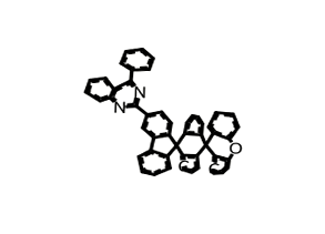 c1ccc(-c2nc(-c3ccc4c(c3)-c3ccccc3C43c4ccccc4C4(c5ccccc5Oc5ccccc54)c4ccccc43)nc3ccccc23)cc1